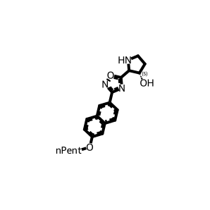 CCCCCOc1ccc2cc(-c3noc(C4NCC[C@@H]4O)n3)ccc2c1